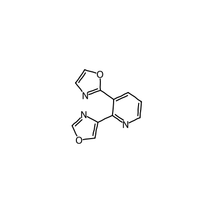 c1cnc(-c2cocn2)c(-c2ncco2)c1